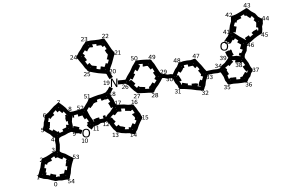 c1ccc(-c2cccc3c2oc2c4ccccc4c(N(c4ccccc4)c4ccc(-c5ccc(-c6cccc7c6oc6ccccc67)cc5)cc4)cc32)cc1